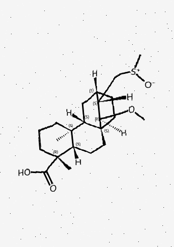 CO[C@@H]1[C@@H](C[S+](C)[O-])[C@H]2CC[C@@]13CC[C@H]1[C@@](C)(CCC[C@@]1(C)C(=O)O)[C@@H]3C2